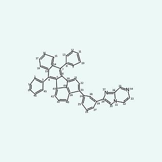 c1ccc(-c2c3c(c(-c4ccccc4)c4ccccc24)-c2ccc(-c4cccc(-c5cn6ccncc6n5)c4)c4cccc-3c24)cc1